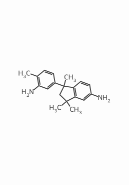 Cc1ccc(C2(C)CC(C)(C)c3cc(N)ccc32)cc1N